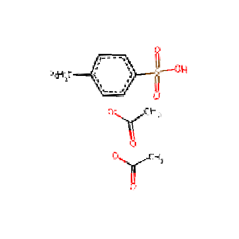 CC(=O)[O-].CC(=O)[O-].Cc1ccc(S(=O)(=O)O)cc1.[Pd+2]